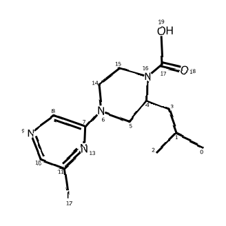 CC(C)CC1CN(c2cncc(I)n2)CCN1C(=O)O